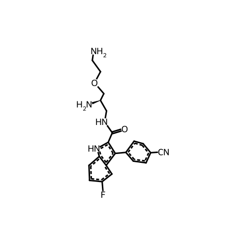 N#Cc1ccc(-c2c(C(=O)NC[C@@H](N)COCCN)[nH]c3ccc(F)cc23)cc1